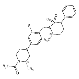 CC(=O)N1CCN(c2ccc(CN3[C@@H](C)CCC(c4ccccc4)S3(=O)=O)c(F)c2)C[C@@H]1C